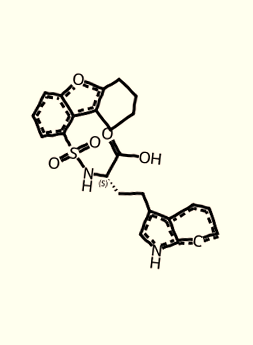 O=C(O)[C@H](CCc1c[nH]c2ccccc12)NS(=O)(=O)c1cccc2oc3c(c12)CCCC3